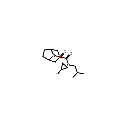 CC(C)COC(=O)N1CC2CCC(C1)N2C(=O)[C@@H]1C[C@H]1F